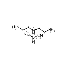 N#CNC#N.NCCNCCN